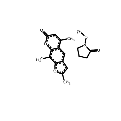 CCON1CCCC1=O.Cc1cc2cc3c(C)cc(=O)oc3c(C)c2o1